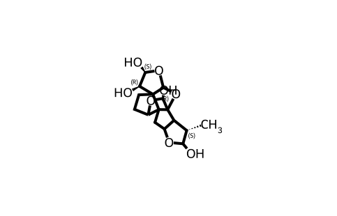 C[C@@H]1C(O)OC2CC34C5CCC36C(O[C@H](O)[C@@H]6O)OC4(C21)[C@H](O)O5